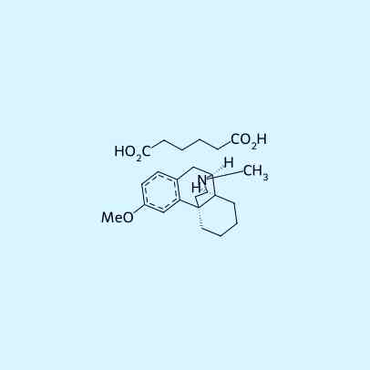 COc1ccc2c(c1)[C@]13CCCC[C@@H]1[C@H](C2)N(C)CC3.O=C(O)CCCCC(=O)O